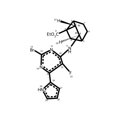 CCOC(=O)[C@@H]1C2CCC(CC2)[C@H]1Nc1nc(Br)nc(-c2ccc[nH]2)c1F